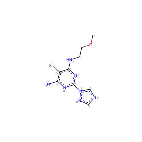 COCCNc1nc(-n2cncn2)nc(N)c1Br